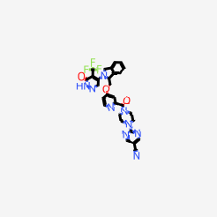 N#Cc1cnc(N2CCN(C(=O)c3cc(OCC4c5ccccc5CN4c4cn[nH]c(=O)c4C(F)(F)F)ccn3)CC2)nc1